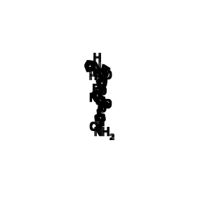 COc1cc2c(Oc3ccc(NC(=O)C4(C(=O)Nc5ccccc5)CC4)cc3F)ccnc2cc1OCC1CCN(CC(N)=O)CC1